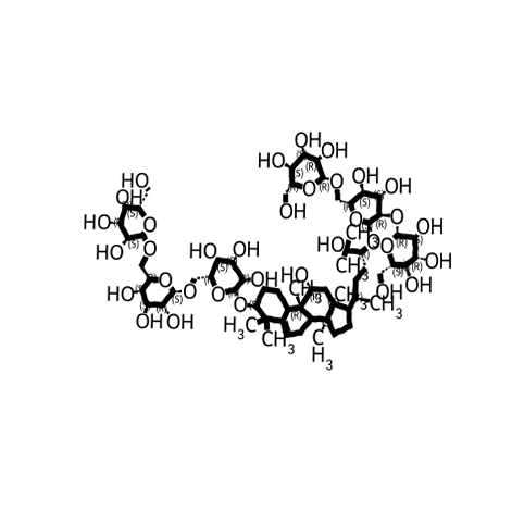 C[C@H](CC[C@@H](O[C@@H]1O[C@H](CO[C@@H]2O[C@H](CO)[C@@H](O)[C@H](O)[C@H]2O)[C@@H](O)[C@H](O)[C@H]1O[C@H]1O[C@@H](CO)[C@H](O)[C@@H](O)[C@@H]1O)C(C)(C)O)C1CC[C@@]2(C)C3CC=C4C(CC[C@H](O[C@@H]5O[C@H](CO[C@H]6O[C@H](COC7O[C@@H](CO)[C@H](O)[C@@H](O)[C@@H]7O)[C@@H](O)[C@H](O)[C@H]6O)[C@@H](O)[C@H](O)[C@H]5O)C4(C)C)[C@]3(C)[C@H](O)C[C@]12C